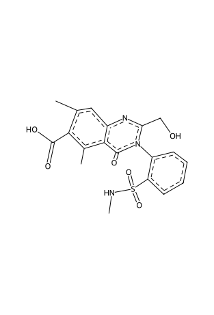 CNS(=O)(=O)c1ccccc1-n1c(CO)nc2cc(C)c(C(=O)O)c(C)c2c1=O